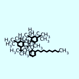 CCCCCCCCCc1ccccc1OP(Oc1c(C)cc(C(C)(C)C)cc1C(C)(C)C)Oc1c(C)cc(C(C)(C)C)cc1C(C)(C)C